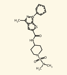 Cc1nn(-c2ccccc2)c2sc(C(=O)NC3CCN(S(=O)(=O)N(C)C)CC3)cc12